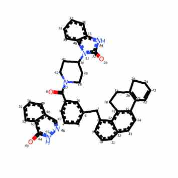 O=C(c1cccc(Cc2cccc3ccc4c(c23)CCC2=C4C=CCC2)c1)N1CCC(n2c(=O)[nH]c3ccccc32)CC1.O=c1[nH]ncc2ccccc12